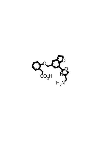 NCc1coc(-c2cc(COc3ccccc3CC(=O)O)cc3ccoc23)n1